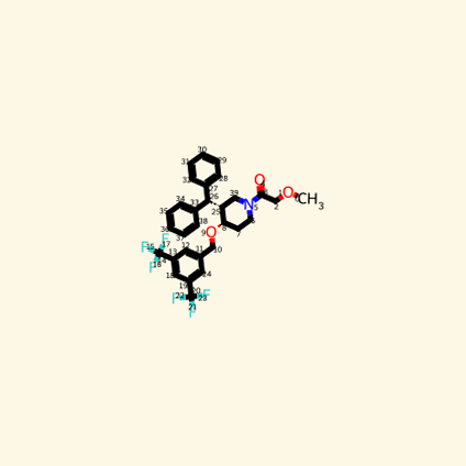 COCC(=O)N1CC[C@H](OCc2cc(C(F)(F)F)cc(C(F)(F)F)c2)[C@H](C(c2ccccc2)c2ccccc2)C1